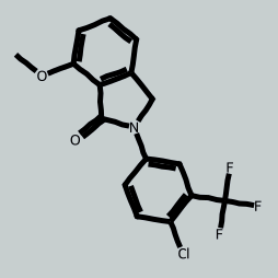 COc1cccc2c1C(=O)N(c1ccc(Cl)c(C(F)(F)F)c1)C2